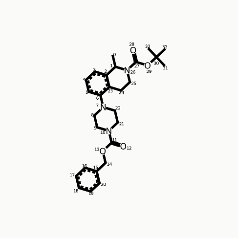 CC1c2cccc(N3CCN(C(=O)OCc4ccccc4)CC3)c2CCN1C(=O)OC(C)(C)C